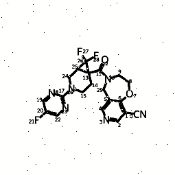 N#Cc1cncc2c1OCCN(C(=O)C13CCN(c4ncc(F)cn4)CC1C3(F)F)C2